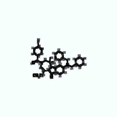 CCOC(=O)C1=CN(C(=O)c2ccc(F)cc2)CC(C)(C)c2c1[nH]c1ccc(N(Cc3ccccc3)Cc3ccccc3)cc21